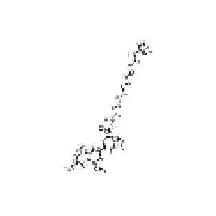 C=C/C(=C\C(=C)N(O)SNCCOCCOCCOCCNC(=N)N)C1C=C(/C(Cl)=C\C(=C)Cl)CN(C)C1